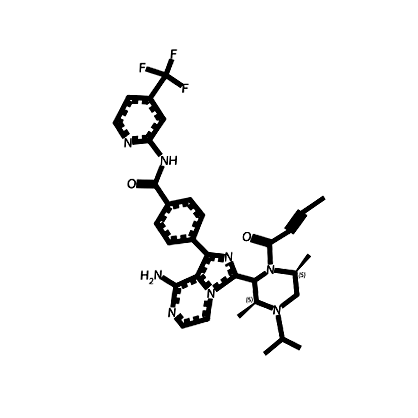 CC#CC(=O)N1C(c2nc(-c3ccc(C(=O)Nc4cc(C(F)(F)F)ccn4)cc3)c3c(N)nccn23)[C@H](C)N(C(C)C)C[C@@H]1C